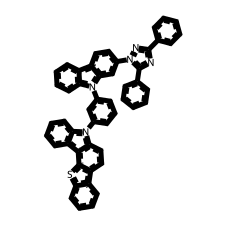 c1ccc(-c2nc(-c3ccccc3)n(-c3ccc4c5ccccc5n(-c5cccc(-n6c7ccccc7c7c8sc9ccccc9c8ccc76)c5)c4c3)n2)cc1